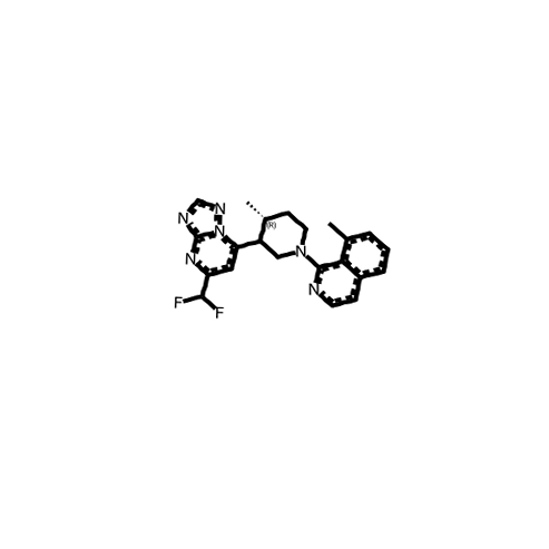 Cc1cccc2ccnc(N3CC[C@@H](C)C(c4cc(C(F)F)nc5ncnn45)C3)c12